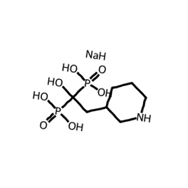 O=P(O)(O)C(O)(CC1CCCNC1)P(=O)(O)O.[NaH]